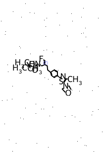 Cc1nc(-c2ccc(CC/C(=C/F)CNC(=O)OC(C)(C)C)cc2)sc1N1CCOCC1